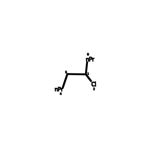 C[CH]CC(Cl)CCCC